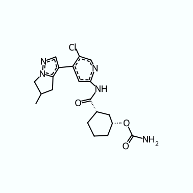 CC1Cc2c(-c3cc(NC(=O)[C@H]4CCC[C@@H](OC(N)=O)C4)ncc3Cl)cnn2C1